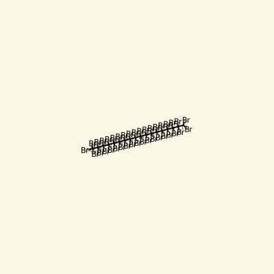 Br[C](Br)C(Br)(Br)C(Br)(Br)C(Br)(Br)C(Br)(Br)C(Br)(Br)C(Br)(Br)C(Br)(Br)C(Br)(Br)C(Br)(Br)C(Br)(Br)C(Br)(Br)C(Br)(Br)C(Br)(Br)C(Br)(Br)C(Br)(Br)C(Br)(Br)C(Br)(Br)Br